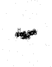 CCn1nc(C(=O)NCC2(CO)CCC(S(C)(=O)=O)CC2)c(Cl)c1-c1ccc(N[C@H](C)C(F)(F)F)cc1OC